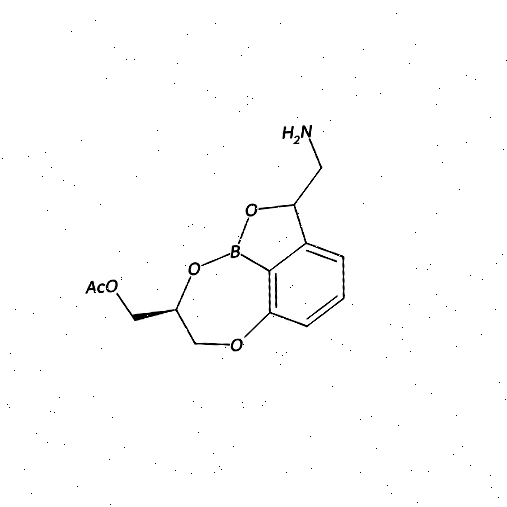 CC(=O)OC[C@@H]1COc2cccc3c2B(OC3CN)O1